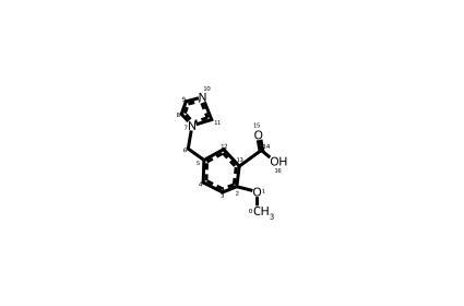 COc1ccc(Cn2ccnc2)cc1C(=O)O